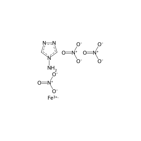 Nn1cnnc1.O=[N+]([O-])[O-].O=[N+]([O-])[O-].O=[N+]([O-])[O-].[Fe+3]